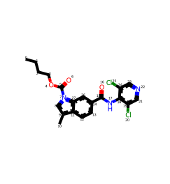 CCCCOC(=O)n1cc(C)c2ccc(C(=O)Nc3c(Cl)cncc3Cl)cc21